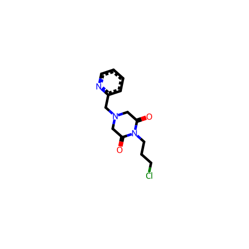 O=C1CN(Cc2ccccn2)CC(=O)N1CCCCl